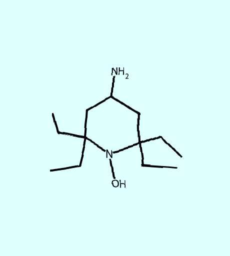 CCC1(CC)CC(N)CC(CC)(CC)N1O